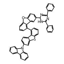 c1ccc(C2=NC(c3ccc4oc5cccc(-c6cccc7sc8cc(-n9c%10ccccc%10c%10ccccc%109)ccc8c67)c5c4c3)NC(c3ccccc3)=N2)cc1